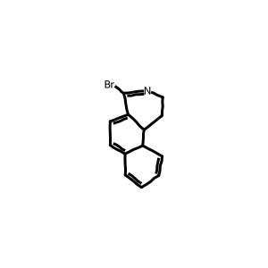 BrC1=NCCC2C1=CC=C1C=CC=CC12